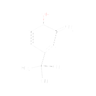 C=C1C=C(C(C)(C)C)C=CC1O